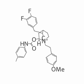 COc1ccc(CC[N+]23CCC(C[C@H]2OC(=O)Nc2ccc(C)cc2)C(Cc2ccc(F)c(F)c2)C3)cc1